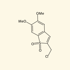 COc1cc2c(cc1OC)S(=O)(=O)C(CCl)=C2